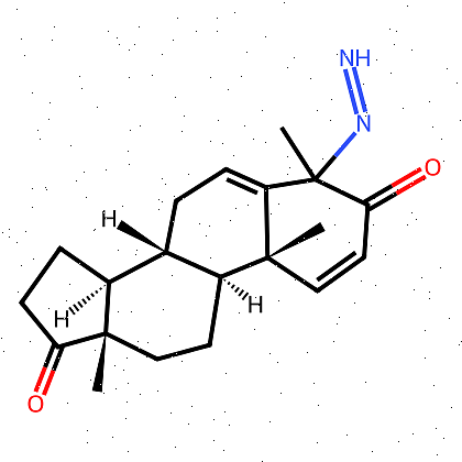 CC1(N=N)C(=O)C=C[C@@]2(C)C1=CC[C@@H]1[C@@H]2CC[C@]2(C)C(=O)CC[C@@H]12